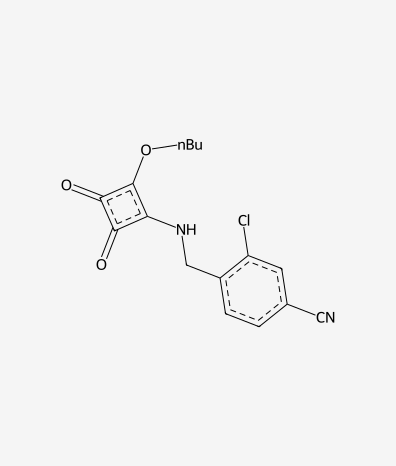 CCCCOc1c(NCc2ccc(C#N)cc2Cl)c(=O)c1=O